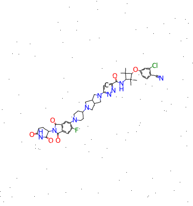 CC1(C)C(NC(=O)c2ccc(N3CC4CN(C5CCN(c6cc7c(cc6F)C(=O)N(C6CCC(=O)NC6=O)C7=O)CC5)CC4C3)nn2)C(C)(C)C1Oc1ccc(C#N)c(Cl)c1